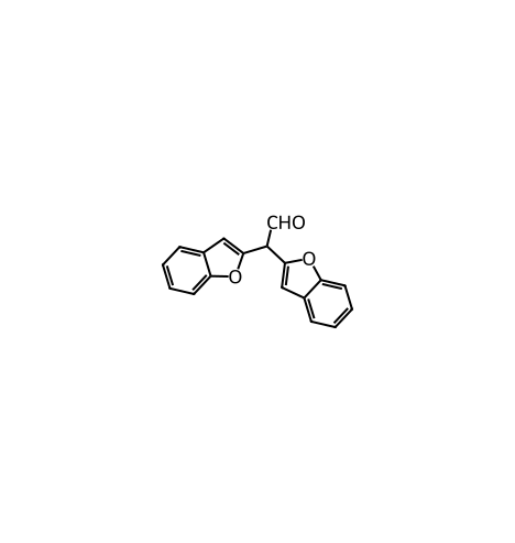 O=CC(c1cc2ccccc2o1)c1cc2ccccc2o1